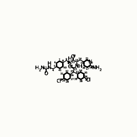 NC(=O)NCc1ccc(CNC(=O)C(Cc2ccc(N)nc2)NC(=O)C(c2ccc(Cl)cc2)c2ccc(Cl)cc2)cc1